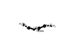 C=CC(=O)OCCSc1ccc(C#Cc2ccc(OC(=O)c3ccc(C#Cc4ccc(SCCOC(=O)C=C)cc4)o3)c(C(=O)OC)c2)cc1